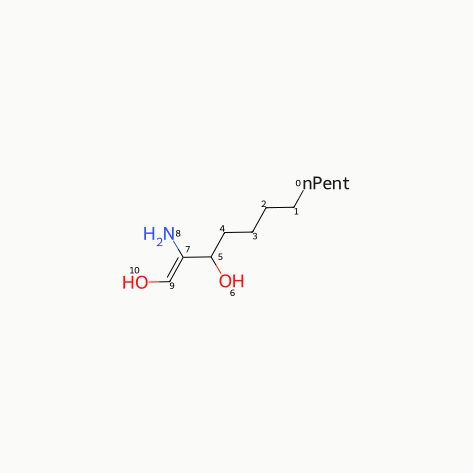 CCCCCCCCCC(O)C(N)=CO